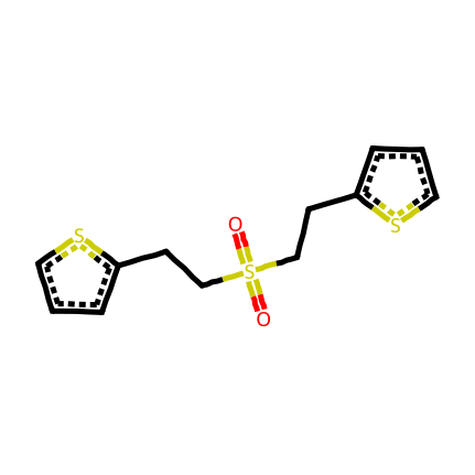 O=S(=O)(CCc1cccs1)CCc1cccs1